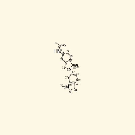 C=C(C)Nc1ccc2c(c1)CN(c1ccc3c(c1)N(C)CC3)C2=C